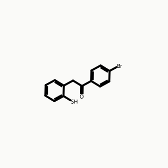 O=C(Cc1ccccc1S)c1ccc(Br)cc1